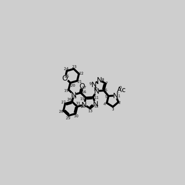 CC(=O)N1CCCC1c1cnnn1-c1ncn2c1c(=O)n(CC1CCCCO1)c1ccccc12